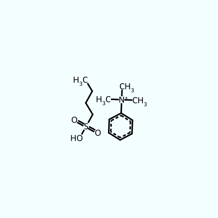 CCCCS(=O)(=O)O.C[N+](C)(C)c1ccccc1